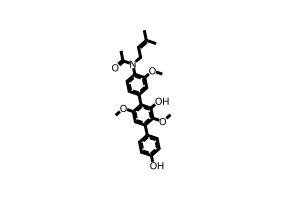 COc1cc(-c2c(OC)cc(-c3ccc(O)cc3)c(OC)c2O)ccc1N(CC=C(C)C)C(C)=O